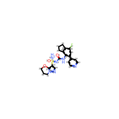 NS(=O)(=NC(=O)Nc1c(-c2ccncc2)cc(F)c2c1CCC2)c1cnn2c1OCCC2